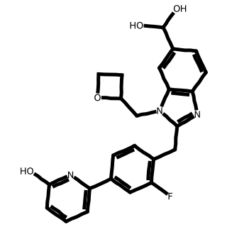 Oc1cccc(-c2ccc(Cc3nc4ccc(C(O)O)cc4n3CC3CCO3)c(F)c2)n1